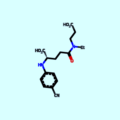 CCN(CCC(=O)O)C(=O)CC[C@H](Nc1ccc(C#N)cc1)C(=O)O